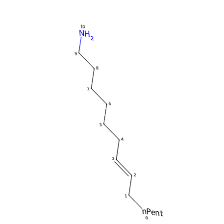 CCCCCCC=CCCCCCCN